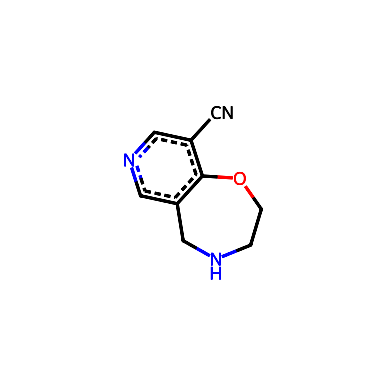 N#Cc1cncc2c1OCCNC2